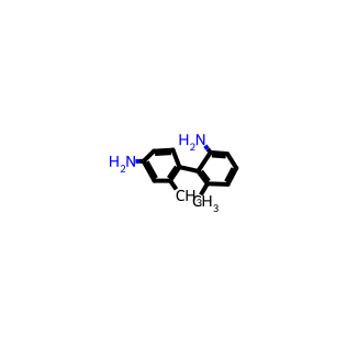 Cc1cc(N)ccc1-c1c(C)cccc1N